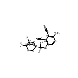 Cc1ccc(OC(F)(F)C23C=C(F)C(C)(CC2)CC3)c(C#N)c1C#N